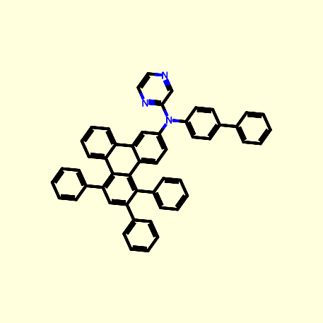 c1ccc(-c2ccc(N(c3ccc4c(c3)c3ccccc3c3c(-c5ccccc5)cc(-c5ccccc5)c(-c5ccccc5)c43)c3cnccn3)cc2)cc1